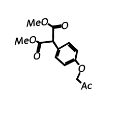 COC(=O)C(C(=O)OC)c1ccc(OCC(C)=O)cc1